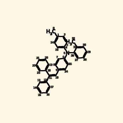 Cc1ccc(N(c2ccc(C=C(c3ccccc3)c3ccccc3)cc2)c2ccccc2C)cc1